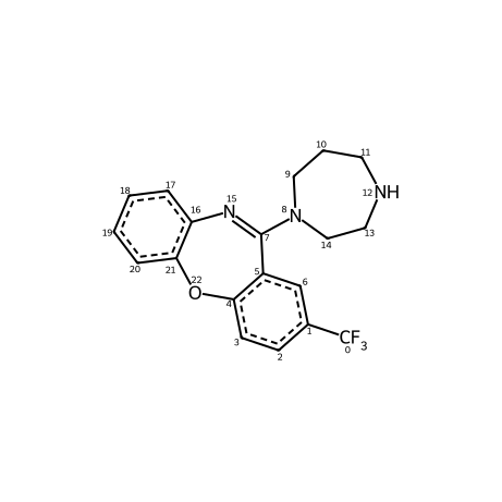 FC(F)(F)c1ccc2c(c1)C(N1CCCNCC1)=Nc1ccccc1O2